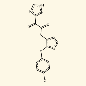 O=C(Cc1ccoc1Oc1ccc(Cl)cc1)C(=O)c1nc[nH]n1